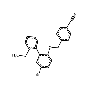 CCc1ccccc1-c1cc(Br)ccc1OCc1ccc(C#N)cc1